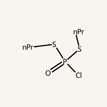 CCCSP(=O)(Cl)SCCC